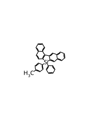 Cc1ccc([Si]2(c3ccccc3)c3cc4ccccc4cc3-c3c2ccc2ccccc32)cc1